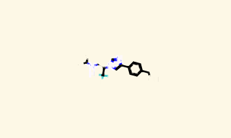 CCc1ccc(-c2cn([C@H](CNC(C)C)C(F)(F)F)cn2)cc1